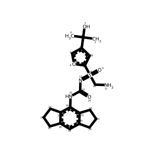 CC(C)(O)c1coc(S(=O)(CN)=NC(=O)Nc2c3c(cc4c2CCC4)CCC3)c1